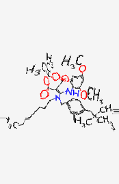 CCCCCCCN(Cc1ccc(CC(C)(C)C)cc1)C(Nc1ccc(OC)cc1OC)=C1C(=O)OC(C)(C)OC1=O